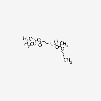 CCCCOC(C)OC(=O)CCCCC(=O)OC(CC)OC